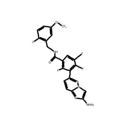 CC(=O)Nc1cn2nc(-c3c(F)c(F)cc(C(=O)NCc4cc(OC(F)(F)F)ccc4F)c3F)ccc2n1